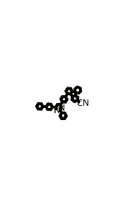 N#Cc1ccc2c(c1)C1(CCCCC1)c1cccc(-c3ccc(-c4cc(C5=CC=C(c6ccccc6)CC5)nc(C5C=CC=CC5)n4)cc3)c1-2